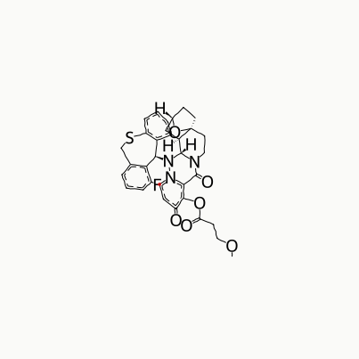 COCCC(=O)Oc1c2n(ccc1=O)N([C@@H]1c3ccccc3SCc3cccc(F)c31)[C@@H]1[C@H]3C[C@@H]4CC[C@@]3(CCN1C2=O)O4